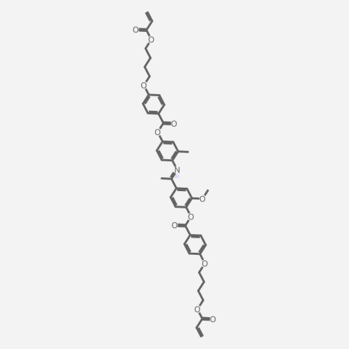 C=CC(=O)OCCCCOc1ccc(C(=O)Oc2ccc(/N=C(\C)c3ccc(OC(=O)c4ccc(OCCCCOC(=O)C=C)cc4)c(OC)c3)c(C)c2)cc1